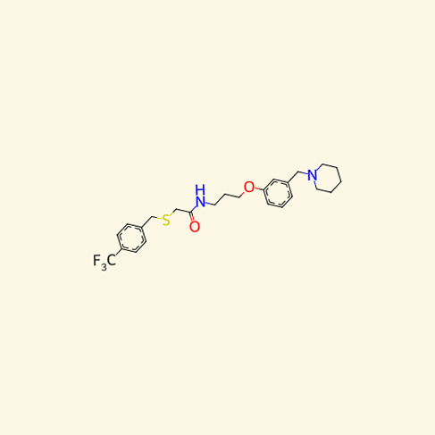 O=C(CSCc1ccc(C(F)(F)F)cc1)NCCCOc1cccc(CN2CCCCC2)c1